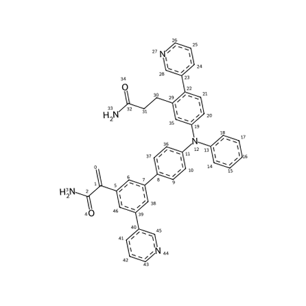 C=C(C(N)=O)c1cc(-c2ccc(N(c3ccccc3)c3ccc(-c4cccnc4)c(CCC(N)=O)c3)cc2)cc(-c2cccnc2)c1